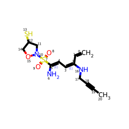 C=C/C(=C\C=C(/N)S(=O)(=O)N1CC(S)CO1)NCC#CC